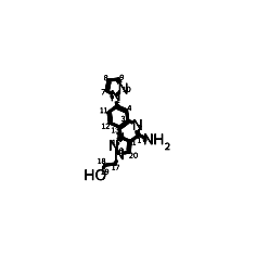 Nc1nc2cc(-n3cccn3)ccc2c2nn(CCO)cc12